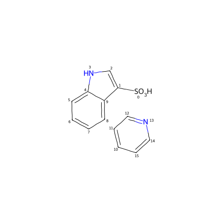 O=S(=O)(O)c1c[nH]c2ccccc12.c1ccncc1